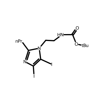 CCCc1nc(I)c(I)n1CCNC(=O)OC(C)(C)C